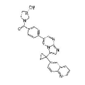 N#C[C@H]1CCN(C(=O)c2ccc(-c3cnc4ncc(C5(c6ccc7ncccc7c6)CC5)n4c3)cc2)C1